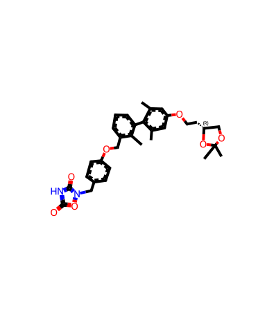 Cc1cc(OCC[C@@H]2COC(C)(C)O2)cc(C)c1-c1cccc(COc2ccc(Cn3oc(=O)[nH]c3=O)cc2)c1C